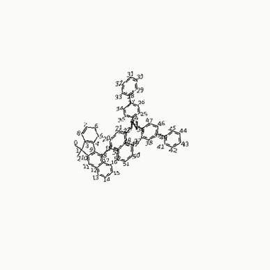 CC1(C)C2=C(CCC=C2)c2c1cc1ccccc1c2-c1ccc(N(c2ccc(-c3ccccc3)cc2)c2ccc(-c3ccccc3)cc2)c2ccccc12